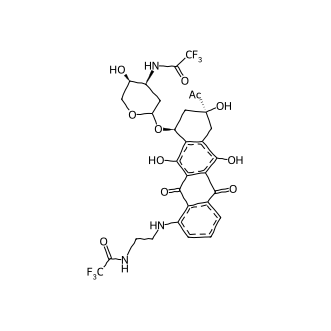 CC(=O)[C@]1(O)Cc2c(O)c3c(c(O)c2[C@@H](OC2C[C@H](NC(=O)C(F)(F)F)[C@H](O)CO2)C1)C(=O)c1c(NCCNC(=O)C(F)(F)F)cccc1C3=O